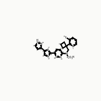 O=C(O)N(CC1(c2ncccc2F)CCC1)c1ccc(-c2ncc(-c3cc[nH]n3)s2)nn1